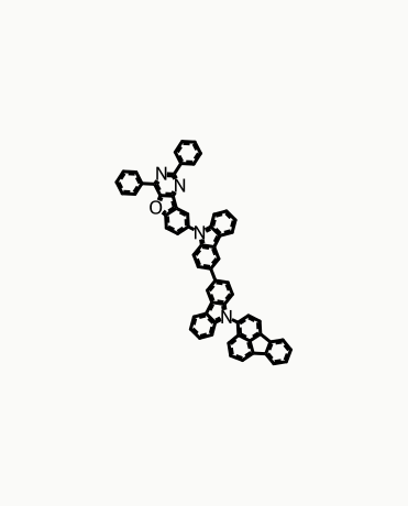 c1ccc(-c2nc(-c3ccccc3)c3oc4ccc(-n5c6ccccc6c6cc(-c7ccc8c(c7)c7ccccc7n8-c7ccc8c9c(cccc79)-c7ccccc7-8)ccc65)cc4c3n2)cc1